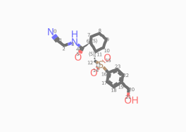 N#CCNC(=O)[C@H]1CCCC[C@@H]1CS(=O)(=O)c1ccc(CO)cc1